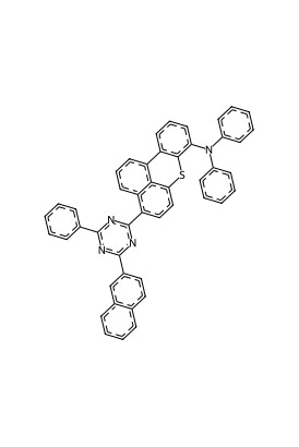 c1ccc(-c2nc(-c3ccc4ccccc4c3)nc(-c3ccc4c5c(cccc35)-c3cccc(N(c5ccccc5)c5ccccc5)c3S4)n2)cc1